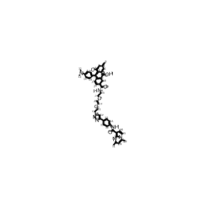 C=c1ccc2c(c1)Oc1cc(N(C)C)ccc1C=2c1ccc(C(=O)NCCOCCOCCn2cc(-c3ccc(NC(=O)c4ccn5c(C)cc(C)nc45)cc3)nn2)cc1C(=O)O